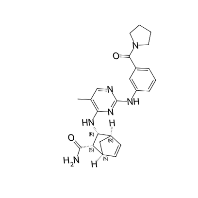 Cc1cnc(Nc2cccc(C(=O)N3CCCC3)c2)nc1N[C@H]1[C@@H](C(N)=O)[C@@H]2C=C[C@H]1C2